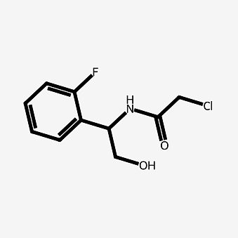 O=C(CCl)NC(CO)c1ccccc1F